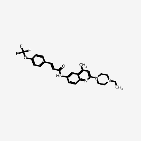 CCN1CCN(c2cc(C)c3cc(NC(=O)C=Cc4ccc(OC(F)(F)F)cc4)ccc3n2)CC1